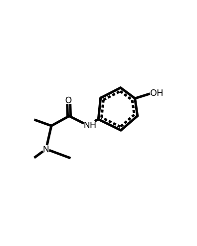 CC(C(=O)Nc1ccc(O)cc1)N(C)C